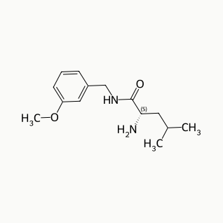 COc1cccc(CNC(=O)[C@@H](N)CC(C)C)c1